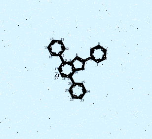 [CH]1C(c2ccccc2)=Cc2c(-c3ccccc3)ccc(-c3ccccc3)c21.[Zr]